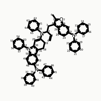 C=CC(Cc1c(C)oc2cc(N(c3ccccc3)c3ccccc3)ccc12)N(C1=Cc2c(c3cc(N(c4ccccc4)c4ccccc4)ccc3n2-c2ccccc2)CC1)c1ccccc1